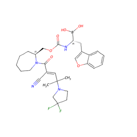 CC(C)(C=C(C#N)C(=O)N1CCCCC[C@H]1COC(=O)N[C@@H](Cc1coc2ccccc12)B(O)O)N1CCC(F)(F)C1